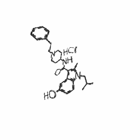 Cc1c(C(=O)NC2CCN(CCc3ccccc3)CC2)c2cc(O)ccc2n1CC(C)C.Cl